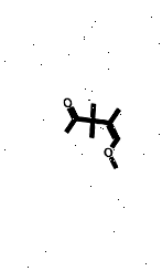 COC=C(C)C(C)(C)C(C)=O